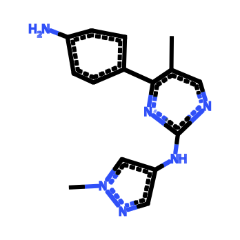 Cc1cnc(Nc2cnn(C)c2)nc1-c1ccc(N)cc1